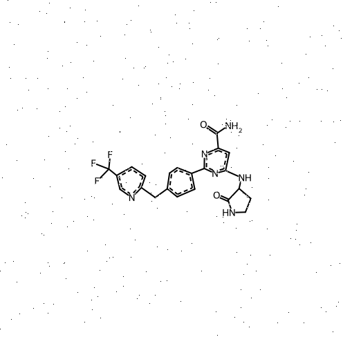 NC(=O)c1cc(NC2CCNC2=O)nc(-c2ccc(Cc3ccc(C(F)(F)F)cn3)cc2)n1